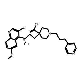 COc1ccc2ncc(Cl)c([C@@H](O)CCC3(C(=O)O)CCN(CCCc4ccncc4)CC3)c2c1